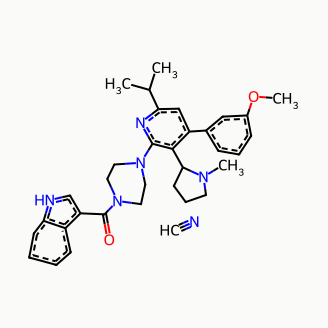 C#N.COc1cccc(-c2cc(C(C)C)nc(N3CCN(C(=O)c4c[nH]c5ccccc45)CC3)c2C2CCCN2C)c1